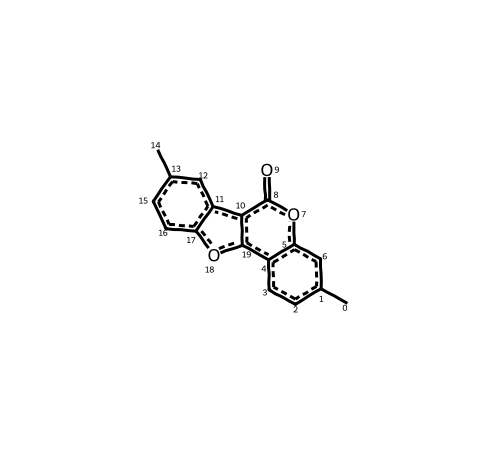 Cc1ccc2c(c1)oc(=O)c1c3cc(C)ccc3oc21